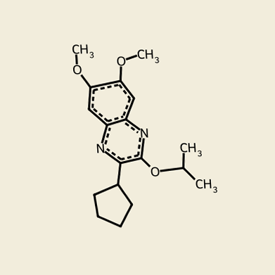 COc1cc2nc(OC(C)C)c(C3CCCC3)nc2cc1OC